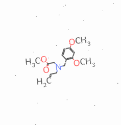 C=CCN(CC(=O)OC)Cc1ccc(OC)cc1OC